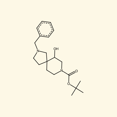 CC(C)(C)OC(=O)N1CCC2(CCN(Cc3ccccc3)C2)C(O)C1